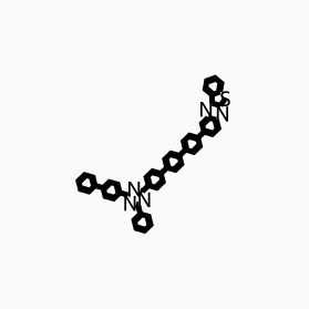 c1ccc(-c2ccc(-c3nc(-c4ccccc4)nc(-c4ccc(-c5ccc(-c6ccc(-c7ccc8nc9sc%10ccccc%10c9nc8c7)cc6)cc5)cc4)n3)cc2)cc1